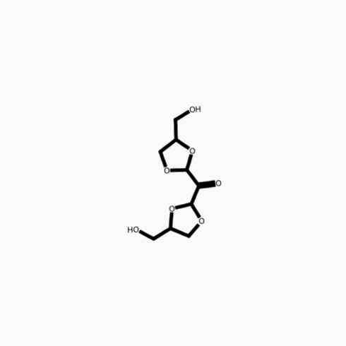 O=C(C1OCC(CO)O1)C1OCC(CO)O1